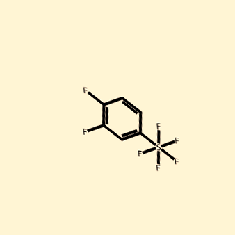 Fc1ccc(S(F)(F)(F)(F)F)cc1F